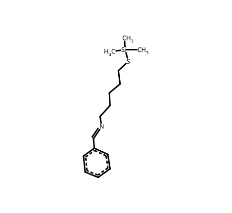 C[Si](C)(C)SCCCCC/N=C/c1ccccc1